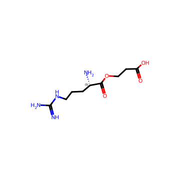 N=C(N)NCCC[C@H](N)C(=O)OCCC(=O)O